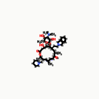 CC[C@H]1OC(=O)C[C@@H](O)[C@H](C)[C@@H](O[C@@H]2O[C@H](C)[C@@H](O)[C@H](N(C)C)[C@H]2O)[C@@H](CCN2Cc3ccccc3C2)C[C@@H](C)C(=O)/C=C/C(C)=C/[C@@H]1CN1CCCCC1